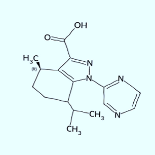 CC(C)C1CC[C@@H](C)c2c(C(=O)O)nn(-c3cnccn3)c21